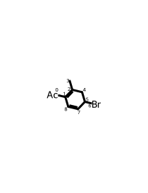 CC(=O)C1=C(C)CC(Br)C=C1